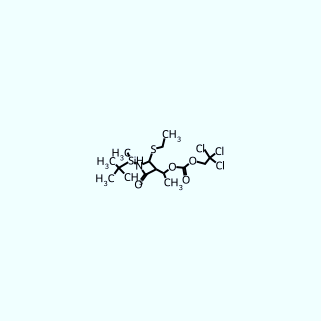 CCSC1C(C(C)OC(=O)OCC(Cl)(Cl)Cl)C(=O)N1[SiH](C)C(C)(C)C